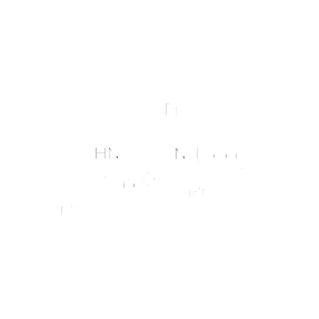 CC(C)CC(=O)NC(CC(C)C)C(=O)NC(C(=O)O)C(C)C